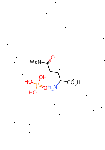 CNC(=O)CCC(N)C(=O)O.O=P(O)(O)O